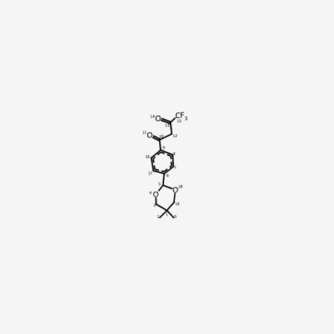 CC1(C)COC(c2ccc(C(=O)CC(=O)C(F)(F)F)cc2)OC1